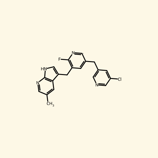 Cc1cnc2[nH]cc(Cc3cc(Cc4cncc(Cl)c4)[c]nc3F)c2c1